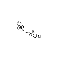 Cc1ccc(S(=O)(=O)OCCC#CCOc2ccc(Cl)cc2Br)cc1